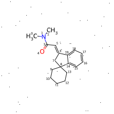 CN(C)C(=O)C=C1CC2(CCCCC2)c2ccccc21